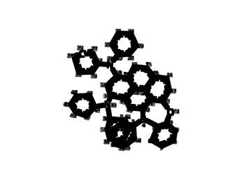 c1ccc(B2c3ccccc3Oc3ccc4ccc5c(N(c6ccccc6)c6ccccc6)cc(N(c6ccccc6)c6ccccc6)c6cc2c3c4c56)cc1